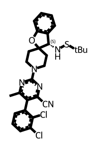 Cc1nc(N2CCC3(CC2)Oc2ccccc2[C@@H]3NSC(C)(C)C)nc(C#N)c1-c1cccc(Cl)c1Cl